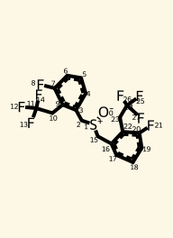 [O-][S+](Cc1cccc(F)c1CC(F)(F)F)Cc1cccc(F)c1CC(F)(F)F